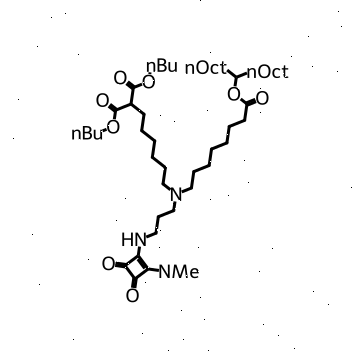 CCCCCCCCC(CCCCCCCC)OC(=O)CCCCCCCN(CCCCCCC(C(=O)OCCCC)C(=O)OCCCC)CCCNc1c(NC)c(=O)c1=O